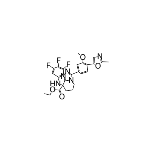 CCOC(=O)C1(Nc2cc(F)c(F)c(F)c2)CCCn2c(-c3ccc(-c4cnc(C)o4)c(OC)c3)nnc21